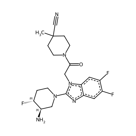 CC1(C#N)CCN(C(=O)Cn2c(N3CC[C@@H](F)[C@H](N)C3)nc3cc(F)c(F)cc32)CC1